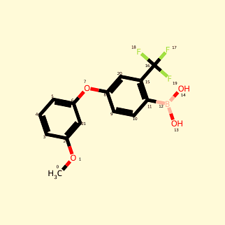 COc1cccc(Oc2ccc(B(O)O)c(C(F)(F)F)c2)c1